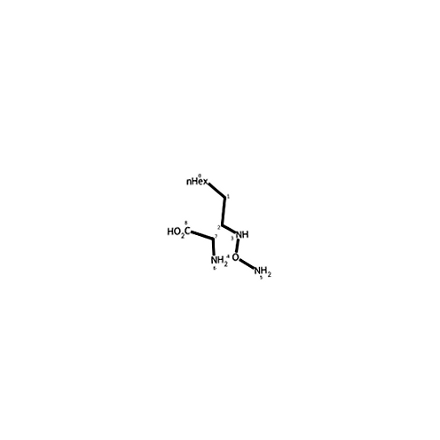 CCCCCCCCNON.NCC(=O)O